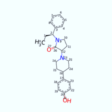 CC[C@@H](c1ccccc1)N1CCC(N2CCC(c3ccc(O)cc3)CC2)C1=O